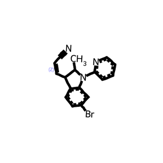 CC1C(/C=C\C#N)c2ccc(Br)cc2N1c1ccccn1